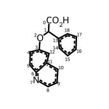 O=C(O)C(Oc1ccc2ncccc2c1)c1ccccc1